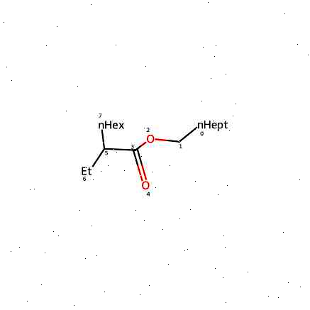 CCCCCCCCOC(=O)C(CC)CCCCCC